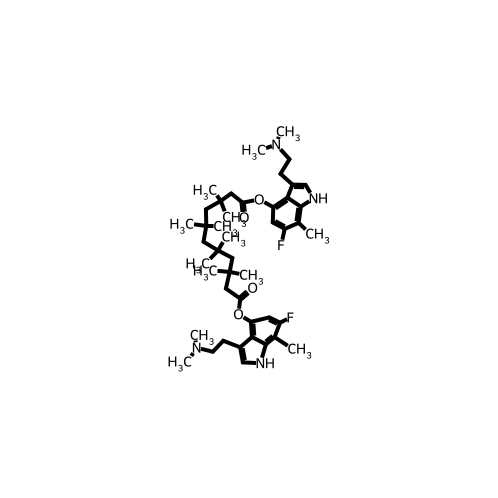 Cc1c(F)cc(OC(=O)CC(C)(C)CC(C)(C)CC(C)(C)CC(C)(C)CC(=O)Oc2cc(F)c(C)c3[nH]cc(CCN(C)C)c23)c2c(CCN(C)C)c[nH]c12